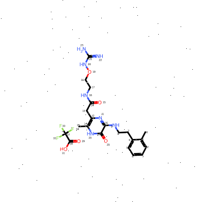 Cc1ccccc1CCNc1nc(CC(=O)NCCONC(=N)N)c(C)[nH]c1=O.O=C(O)C(F)(F)F